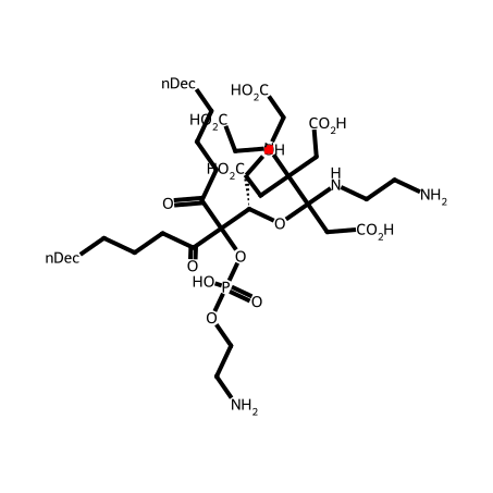 CCCCCCCCCCCCCC(=O)C(OP(=O)(O)OCCN)(C(=O)CCCCCCCCCCCCC)[C@H](CO)OC(CC(=O)O)(NCCN)C(CC(=O)O)(CC(=O)O)N(CC(=O)O)CC(=O)O